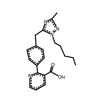 CCCCCn1nc(C)nc1Cc1ccc(-c2ncccc2C(=O)O)cc1